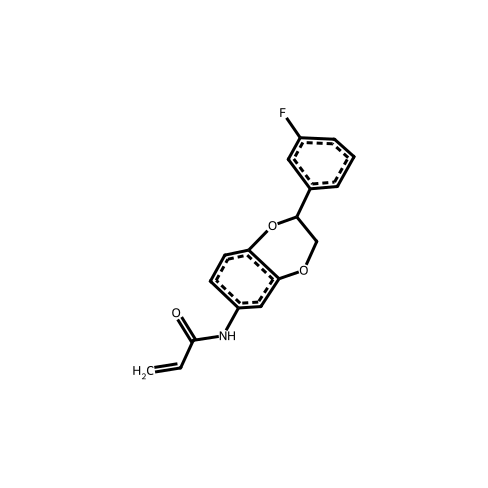 C=CC(=O)Nc1ccc2c(c1)OCC(c1cccc(F)c1)O2